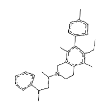 CCc1c(C)c2c(c(C)c1-c1ccc(C)cc1)CN(C(C)CC(C)c1ccccc1)CC2